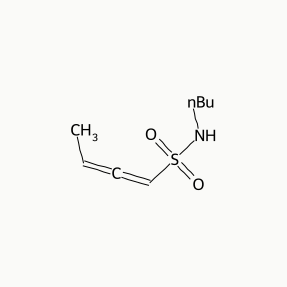 CC=C=CS(=O)(=O)NCCCC